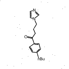 CCCCc1ccc(C(=O)CCCn2ccnc2)cc1